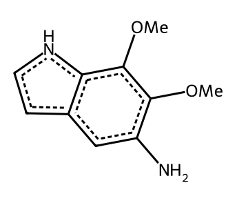 COc1c(N)cc2cc[nH]c2c1OC